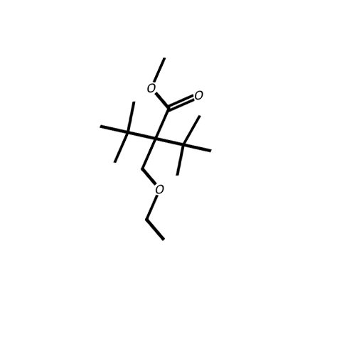 CCOCC(C(=O)OC)(C(C)(C)C)C(C)(C)C